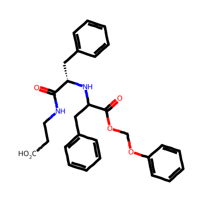 O=C(O)CCNC(=O)[C@H](Cc1ccccc1)NC(Cc1ccccc1)C(=O)OCOc1ccccc1